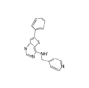 c1ccc(-c2cc3ncnc(NCc4ccncc4)c3s2)cc1